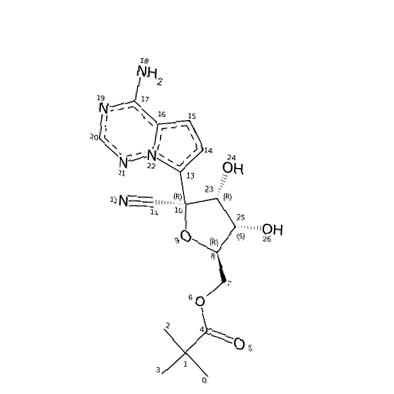 CC(C)(C)C(=O)OC[C@H]1O[C@@](C#N)(c2ccc3c(N)ncnn23)[C@H](O)[C@@H]1O